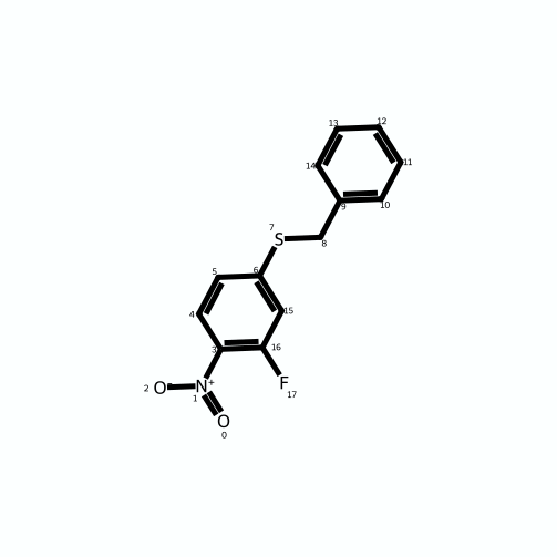 O=[N+]([O-])c1ccc(SCc2ccccc2)cc1F